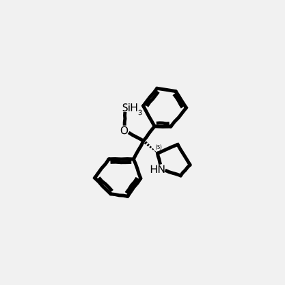 [SiH3]OC(c1ccccc1)(c1ccccc1)[C@@H]1CCCN1